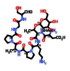 CC(=O)NC1C(O)C(O)C(CO)O[C@@H]1OC(C)[C@H](NC(=O)[C@@H](N)CC(=O)O)C(=O)N[C@@H](CCCN)C(=O)N1CCC[C@H]1C(=O)N[C@@H](C)C(=O)N1CCC[C@H]1C(=O)NCC(=O)NC(C=O)CO